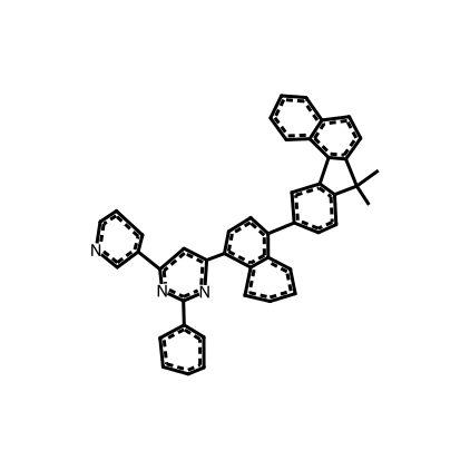 CC1(C)c2ccc(-c3ccc(-c4cc(-c5cccnc5)nc(-c5ccccc5)n4)c4ccccc34)cc2-c2c1ccc1ccccc21